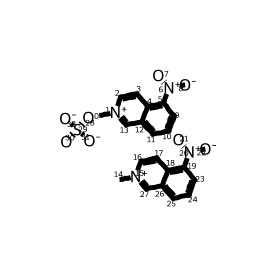 C[n+]1ccc2c([N+](=O)[O-])cccc2c1.C[n+]1ccc2c([N+](=O)[O-])cccc2c1.O=S(=O)([O-])[O-]